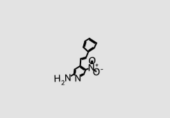 Nc1cc(C=Cc2ccccc2)c([N+](=O)[O-])cn1